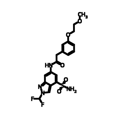 COCCOc1cccc(CC(=O)Nc2cc(S(N)(=O)=O)c3cn(C(F)F)nc3c2)c1